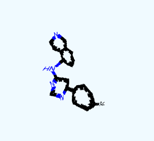 CC(=O)c1ccc(-c2cc(Nc3cccc4cnccc34)ncn2)cc1